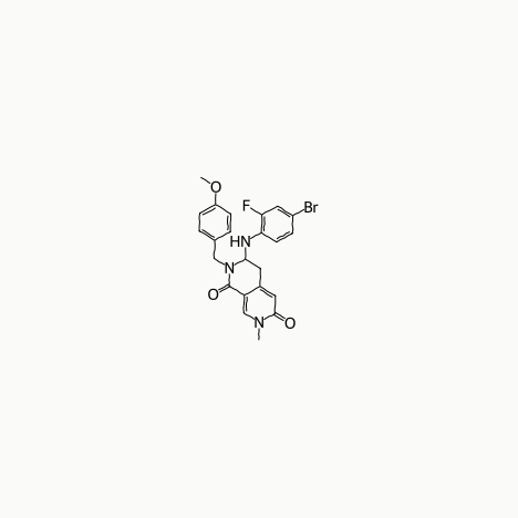 COc1ccc(CN2C(=O)c3cn(C)c(=O)cc3CC2Nc2ccc(Br)cc2F)cc1